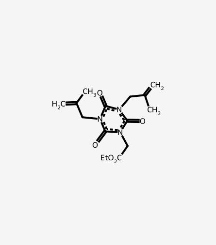 C=C(C)Cn1c(=O)n(CC(=C)C)c(=O)n(CC(=O)OCC)c1=O